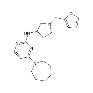 c1coc(CN2CCC(Nc3nccc(N4CCCCCC4)n3)C2)c1